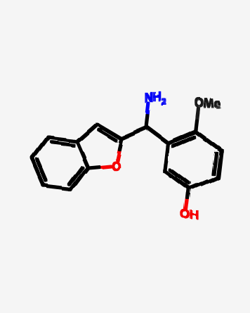 COc1ccc(O)cc1C(N)c1cc2ccccc2o1